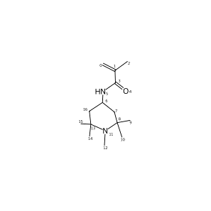 C=C(C)C(=O)NC1CC(C)(C)N(C)C(C)(C)C1